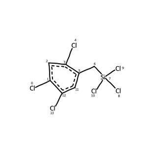 Clc1cc(Cl)c(C[Si](Cl)(Cl)Cl)cc1Cl